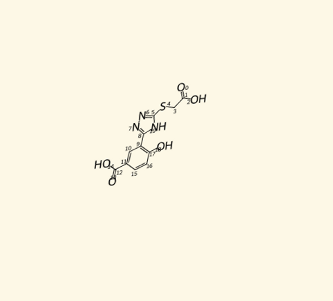 O=C(O)CSc1nnc(-c2cc(C(=O)O)ccc2O)[nH]1